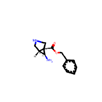 N[C@H]1[C@@H]2CNC[C@]12C(=O)OCc1ccccc1